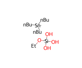 CCC[CH2][Sn]([CH2]CCC)[CH2]CCC.CCO[Si](O)(O)O